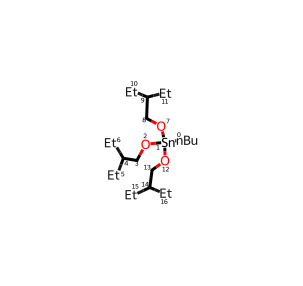 CCC[CH2][Sn]([O]CC(CC)CC)([O]CC(CC)CC)[O]CC(CC)CC